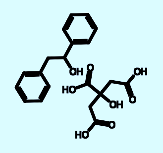 O=C(O)CC(O)(CC(=O)O)C(=O)O.OC(Cc1ccccc1)c1ccccc1